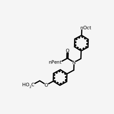 CCCCCCCCc1ccc(CN(Cc2ccc(OCC(=O)O)cc2)C(=O)CCCCC)cc1